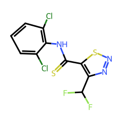 FC(F)c1nnsc1C(=S)Nc1c(Cl)cccc1Cl